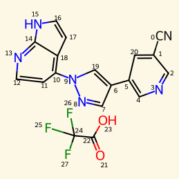 N#Cc1cncc(-c2cnn(-c3ccnc4[nH]ccc34)c2)c1.O=C(O)C(F)(F)F